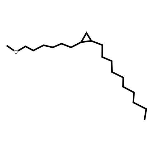 CCCCCCCCCCC1CC1CCCCCCOC